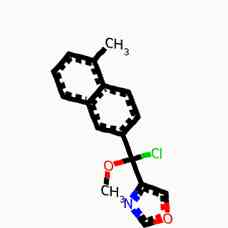 COC(Cl)(c1ccc2c(C)cccc2c1)c1cocn1